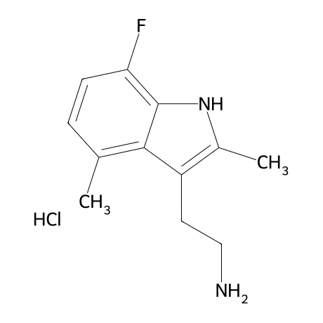 Cc1[nH]c2c(F)ccc(C)c2c1CCN.Cl